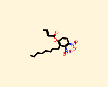 CC=CC(=O)Oc1ccc([N+](=O)[O-])c([N+](=O)[O-])c1CCCCCCCC